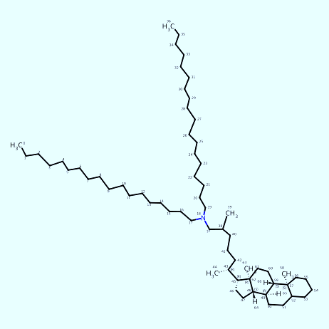 CCCCCCCCCCCCCCCCCCN(CCCCCCCCCCCCCCCCCC)CC(C)CCC[C@@H](C)[C@H]1CC[C@H]2[C@@H]3CCC4CCCC[C@]4(C)[C@H]3CC[C@]12C